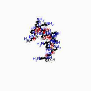 CC(C)C[C@H](NC(=O)[C@@H](N)CC(C)C)C(=O)N1CCC[C@H]1C(=O)N[C@@H](CCCCN)C(=O)N[C@@H](CCCCN)C(=O)N[C@H](C(=O)N[C@@H](CCC(=O)O)C(=O)N[C@@H](CO)C(=O)N[C@@H](Cc1c[nH]cn1)C(=O)N[C@@H](Cc1c[nH]cn1)C(=O)N[C@@H](CCCCN)C(=O)N1CCC[C@H]1C(=O)N[C@@H](CCCCN)C(=O)NCC(=O)N[C@@H](CCCCN)C(=O)O)[C@@H](C)O